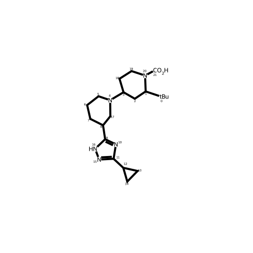 CC(C)(C)C1CC(N2CCCC(c3nc(C4CC4)n[nH]3)C2)CCN1C(=O)O